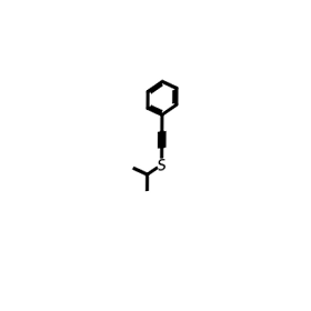 CC(C)SC#Cc1ccccc1